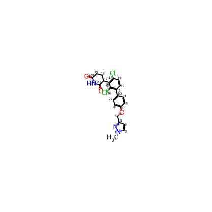 Cn1ccc(COc2ccc(-c3ccc(Cl)c(C4CCC(=O)NC4=O)c3Cl)cc2)n1